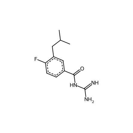 CC(C)Cc1cc(C(=O)NC(=N)N)ccc1F